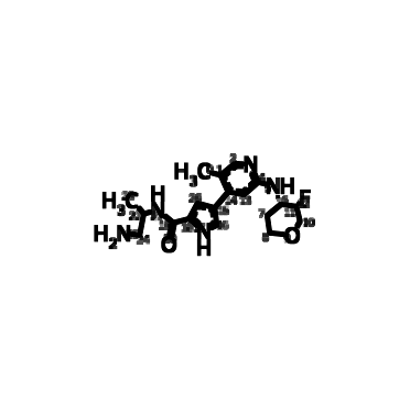 Cc1cnc(N[C@H]2CCOC[C@@H]2F)cc1-c1c[nH]c(C(=O)NC(C)CN)c1